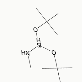 CN[SiH](OC(C)(C)C)OC(C)(C)C